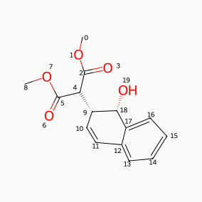 COC(=O)C(C(=O)OC)[C@H]1C=Cc2ccccc2[C@H]1O